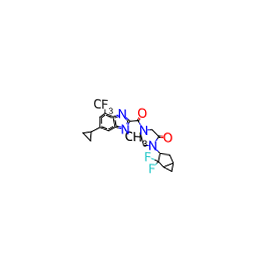 Cn1c(C(=O)N2CCN(C3CC4CC4C3(F)F)C(=O)C2)nc2c(C(F)(F)F)cc(C3CC3)cc21